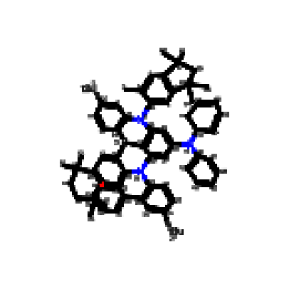 Cc1cc2c(cc1N1c3cc(C(C)(C)C)ccc3B3c4cc5c(cc4N(c4ccc(C(C)(C)C)cc4-c4ccccc4)c4cc(N(c6ccccc6)C6C=CC=CC6)cc1c43)C(C)(C)CCC5(C)C)C(C)(C)CC2(C)C